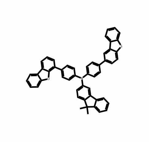 CC1(C)c2ccccc2-c2cc(N(c3ccc(-c4ccc5sc6ccccc6c5c4)cc3)c3ccc(-c4cccc5c4oc4ccccc45)cc3)ccc21